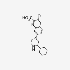 O=C(O)C1=Nc2cc(N3CCNC(C4CCCCC4)C3)ccc2CC1=O